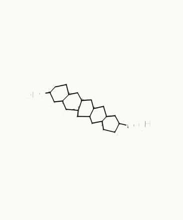 O=CC1CCC2CC3CC4CC5CC(C(=O)O)CCC5CC4CC3CC2C1